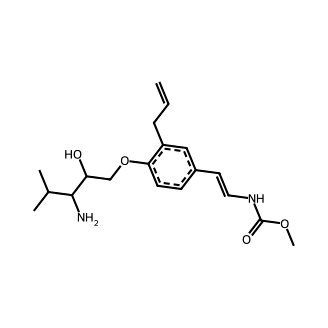 C=CCc1cc(C=CNC(=O)OC)ccc1OCC(O)C(N)C(C)C